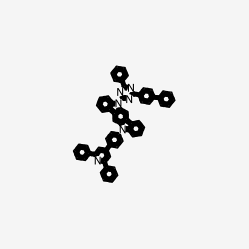 c1ccc(-c2ccc(-c3nc(-c4ccccc4)nc(-n4c5ccccc5c5cc6c(cc54)c4ccccc4n6-c4ccc(-c5cc(-c6ccccc6)nc(-c6ccccc6)c5)cc4)n3)cc2)cc1